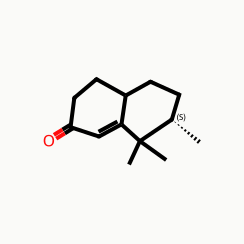 C[C@H]1CCC2CCC(=O)C=C2C1(C)C